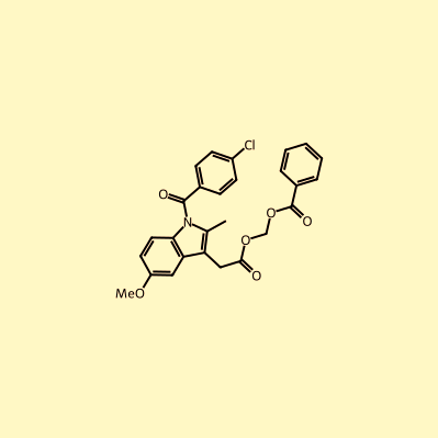 COc1ccc2c(c1)c(CC(=O)OCOC(=O)c1ccccc1)c(C)n2C(=O)c1ccc(Cl)cc1